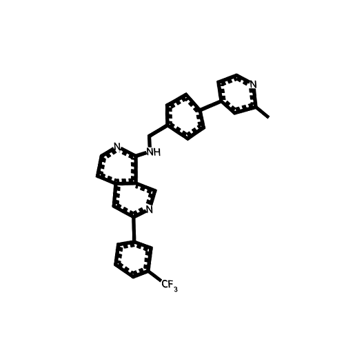 Cc1cc(-c2ccc(CNc3nccc4cc(-c5cccc(C(F)(F)F)c5)ncc34)cc2)ccn1